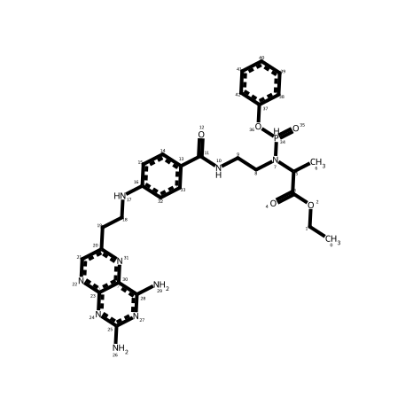 CCOC(=O)C(C)N(CCNC(=O)c1ccc(NCCc2cnc3nc(N)nc(N)c3n2)cc1)[PH](=O)Oc1ccccc1